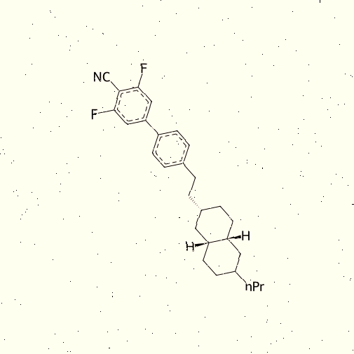 CCCC1CC[C@@H]2C[C@H](CCc3ccc(-c4cc(F)c(C#N)c(F)c4)cc3)CC[C@@H]2C1